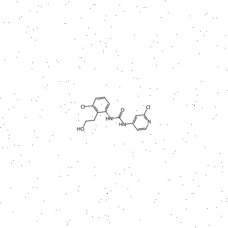 O=C(Nc1ccnc(Cl)c1)Nc1cccc(Cl)c1CCO